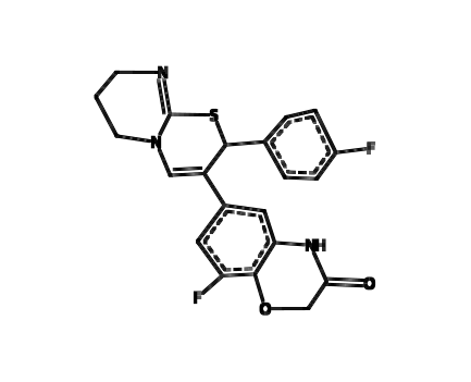 O=C1COc2c(F)cc(C3=CN4CCCN=C4SC3c3ccc(F)cc3)cc2N1